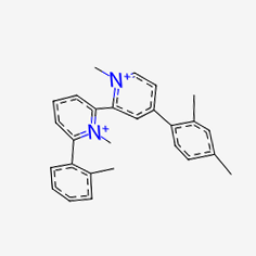 Cc1ccc(-c2cc[n+](C)c(-c3cccc(-c4ccccc4C)[n+]3C)c2)c(C)c1